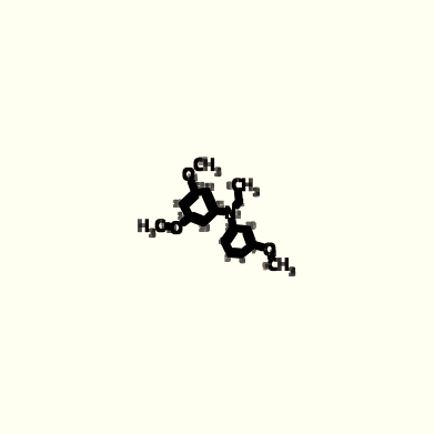 CCN(c1cccc(OC)c1)c1cc(OC)cc(OC)c1